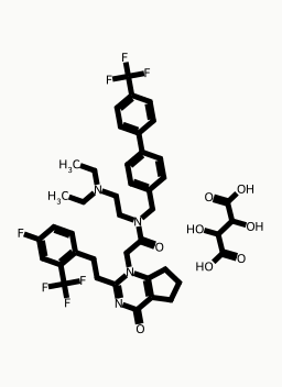 CCN(CC)CCN(Cc1ccc(-c2ccc(C(F)(F)F)cc2)cc1)C(=O)Cn1c(CCc2ccc(F)cc2C(F)(F)F)nc(=O)c2c1CCC2.O=C(O)C(O)C(O)C(=O)O